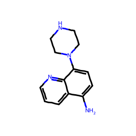 Nc1ccc(N2CCNCC2)c2ncccc12